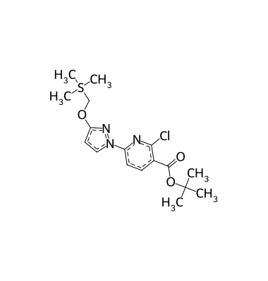 CC(C)(C)OC(=O)c1ccc(-n2ccc(OCS(C)(C)C)n2)nc1Cl